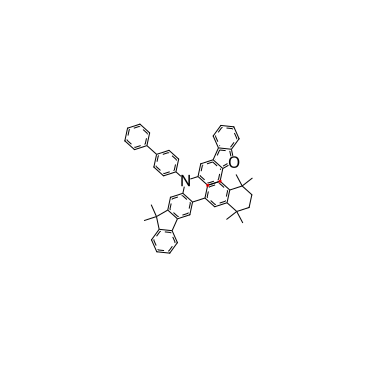 CC1(C)CCC(C)(C)c2cc(-c3cc4c(cc3N(c3ccc(-c5ccccc5)cc3)c3ccc5oc6ccccc6c5c3)C(C)(C)c3ccccc3-4)ccc21